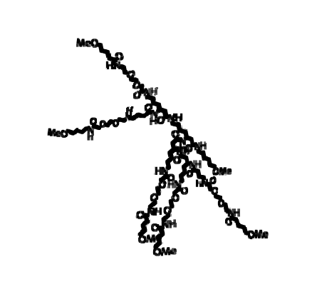 COCCCCCCNC(=O)CC(CCCCNC(=O)CC(CCCCNC(=O)COCCOCCNC(=O)CCCCOC)NC(=O)CCCNCCOCCOCC(=O)NCCCCCOC)NC(=O)CC(CCCCNC(=O)COCCOCCNC(=O)CCCCOC)NC(=O)CC(CCCCNC(=O)COCCOCCNC(=O)CCCCOC)NC(=O)CCCNC(=O)COCCOCCNC(=O)CCCCOC